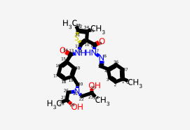 Cc1ccc(C=NNC(=O)c2c(NC(=O)c3cccc(CN(CC(C)O)CC(C)O)c3)sc(C)c2C)cc1